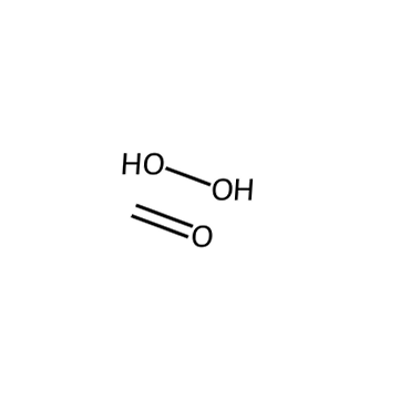 C=O.OO